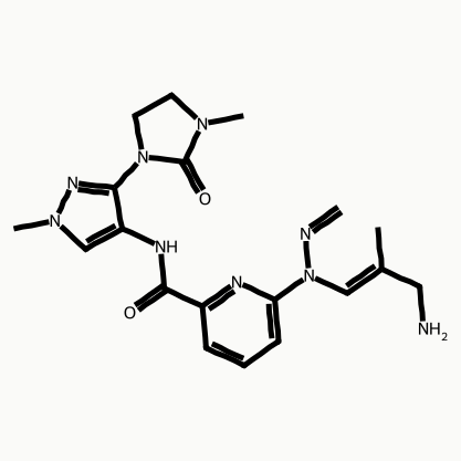 C=NN(/C=C(\C)CN)c1cccc(C(=O)Nc2cn(C)nc2N2CCN(C)C2=O)n1